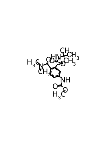 COC(=O)Nc1ccc(C(=O)N(C)C)c(S(=O)(=O)NC(C)(C)C)c1